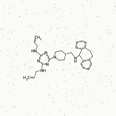 C=CCNc1nc(NCC=C)nc(N2CCC(CNC3c4ccccc4CCc4ccccc43)CC2)n1